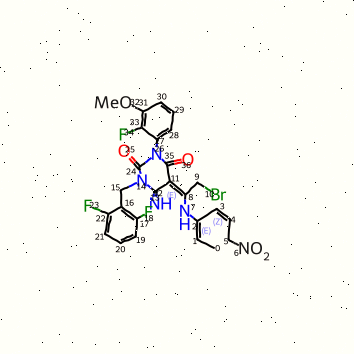 C/C=C(\C=C/C[N+](=O)[O-])N/C(CBr)=C1\C(=N)N(Cc2c(F)cccc2F)C(=O)N(c2cccc(OC)c2F)C1=O